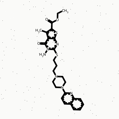 CCOC(=O)c1sc2nc(SCCCN3CCN(c4ccc5ccccc5n4)CC3)n(N)c(=O)c2c1C